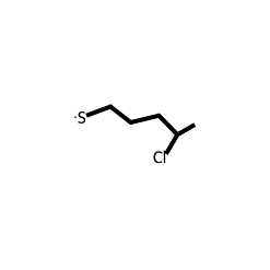 CC(Cl)CCC[S]